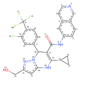 O=C(Nc1ccc2cnccc2c1)C1=C(C2CC2)Nc2cc(CO)nn2C1c1ccc(C(F)(F)F)c(F)c1